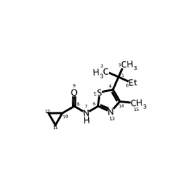 CCC(C)(C)c1sc(NC(=O)C2CC2)nc1C